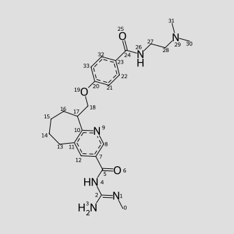 CN=C(N)NC(=O)c1cnc2c(c1)CCCCC2COc1ccc(C(=O)NCCN(C)C)cc1